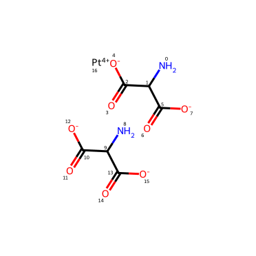 NC(C(=O)[O-])C(=O)[O-].NC(C(=O)[O-])C(=O)[O-].[Pt+4]